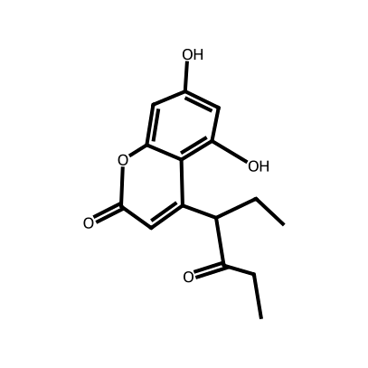 CCC(=O)C(CC)c1cc(=O)oc2cc(O)cc(O)c12